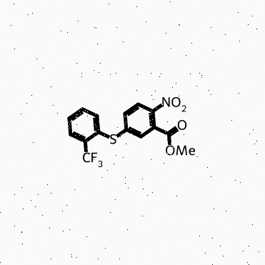 COC(=O)c1cc(Sc2ccccc2C(F)(F)F)ccc1[N+](=O)[O-]